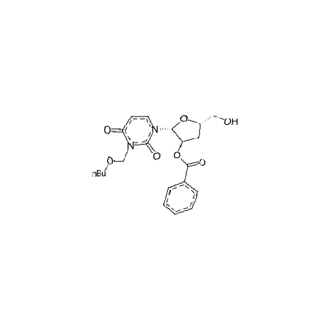 CCCCOCn1c(=O)ccn([C@@H]2O[C@H](CO)CC2OC(=O)c2ccccc2)c1=O